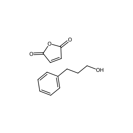 O=C1C=CC(=O)O1.OCCCc1ccccc1